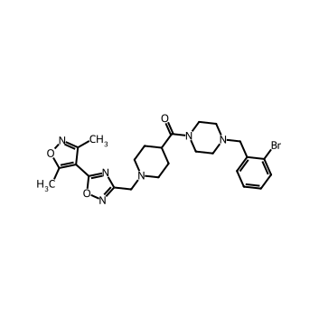 Cc1noc(C)c1-c1nc(CN2CCC(C(=O)N3CCN(Cc4ccccc4Br)CC3)CC2)no1